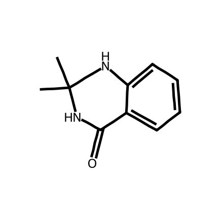 CC1(C)NC(=O)c2ccccc2N1